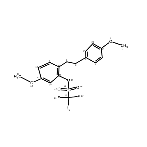 COc1ccc(CCc2ccc(OC)cc2OS(=O)(=O)C(F)(F)F)cc1